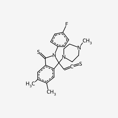 Cc1cc2c(cc1C)C(C=C=S)(N1CCN(C)CC1)N(c1ccc(F)cc1)C2=S